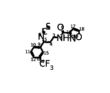 O=C(NCCC(N=C=S)c1cccc(C(F)(F)F)c1)c1ccon1